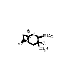 CC(=O)NC1S[C@@H]2CC(=O)N2CC1(Cl)C(=O)O